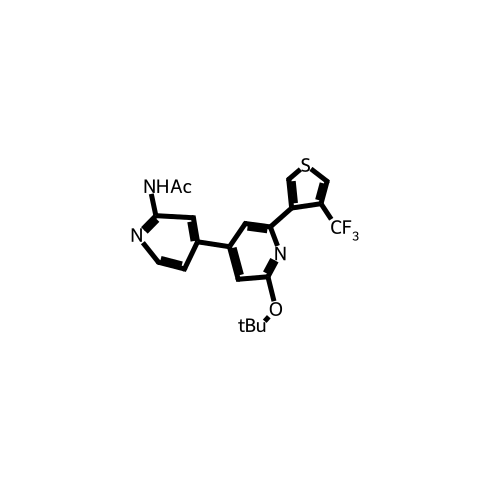 CC(=O)Nc1cc(-c2cc(OC(C)(C)C)nc(-c3cscc3C(F)(F)F)c2)ccn1